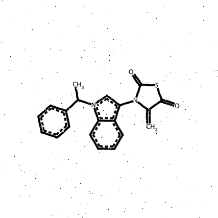 C=C1C(=O)SC(=O)N1c1cn(C(C)c2ccccc2)c2ccccc12